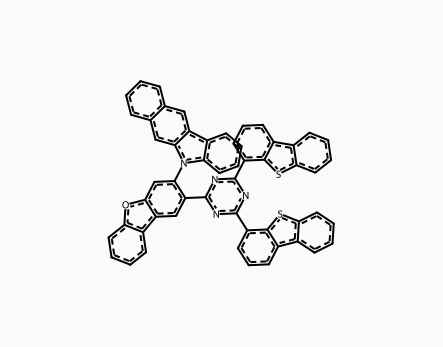 c1ccc2cc3c(cc2c1)c1ccccc1n3-c1cc2oc3ccccc3c2cc1-c1nc(-c2cccc3c2sc2ccccc23)nc(-c2cccc3c2sc2ccccc23)n1